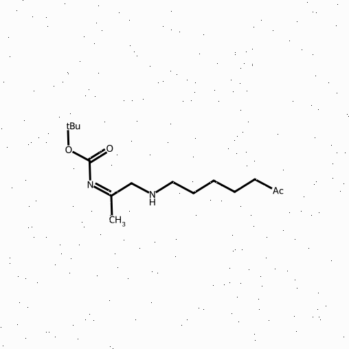 CC(=O)CCCCCNC/C(C)=N\C(=O)OC(C)(C)C